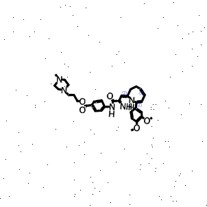 COc1ccc(/C2=C/C=C\CC/C(=C/C(=N)C(=O)Nc3ccc(C(=O)OCCCN4CCN(C)CC4)cc3)N2)cc1OC